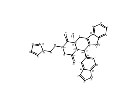 O=C1[C@H]2Cc3c([nH]c4ccccc34)[C@@H](c3ccc4occc4c3)N2C(=O)CN1CCn1cccn1